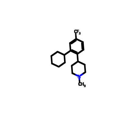 CN1CCC(c2ccc(C(F)(F)F)cc2C2CCCCC2)CC1